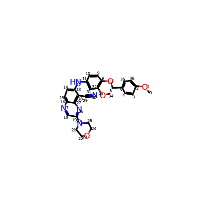 COc1ccc(COc2ccc(Nc3ccc4ncc(N5CCOCC5)nc4c3C#N)cc2OC)cc1